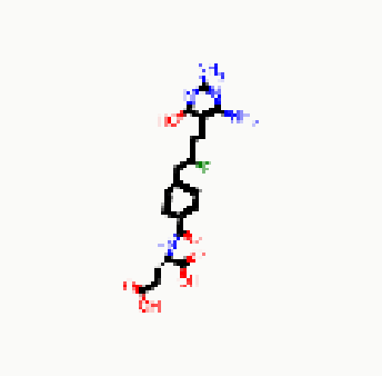 Nc1nc(N)c(CCC(F)Cc2ccc(C(=O)N[C@@H](CCC(=O)O)C(=O)O)cc2)c(O)n1